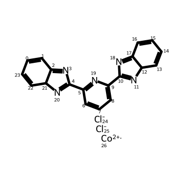 C1=CC2=NC(c3cccc(C4=NC5C=CC=CC5=N4)n3)=NC2C=C1.[Cl-].[Cl-].[Co+2]